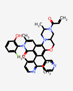 C=CC(=O)N1CC2COc3c(-c4cccnc4)c(-c4c(C)ccnc4C(C)C)c4c(=O)n(-c5c(O)cccc5F)c(C)cc4c3N2CC1C